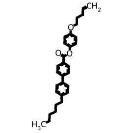 C=CCCCOc1ccc(OC(=O)c2ccc(-c3ccc(CCCCCC)cc3)cc2)cc1